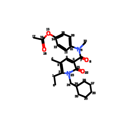 CCc1c(C)cc(C(=O)N(C)c2ccc(OC(C)=O)cc2)c(=O)n1CC1CCCCC1